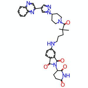 CC(C)(CCCNc1ccc2c(c1)C(=O)N(C1CCC(=O)NC1=O)C2=O)C(=O)N1CCC(n2cc(-c3cnc4ccccc4n3)cn2)CC1